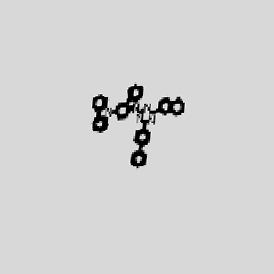 c1ccc(-c2ccc(-c3nc(-c4ccc5ccccc5c4)nc(-n4c5ccccc5c5cc(-n6c7ccccc7c7ccccc76)ccc54)n3)cc2)cc1